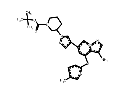 Cc1ccc(Sc2cc(-c3cnn(C4CCCN(C(=O)OC(C)(C)C)C4)c3)cn3ncc(N)c23)nc1